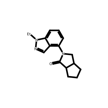 CCn1ncc2c(N3CC4CCCC4C3=O)cccc21